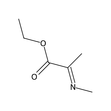 CCOC(=O)/C(C)=N/C